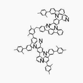 Cc1ccc(-c2ccc3c(c2)c2cc(-c4cc(Cc5ccc(-c6ccc7c8ccccc8n(-c8cc(-c9cccnc9)c(-n9c%10ccccc%10c%10ccc(-c%11ccc(C)cc%11C)cc%109)cc8C#N)c7c6)c(C)c5)c(C)cc4C)ccc2n3-c2cc(-c3cccnc3)c(-n3c4ccc(-c5ccc(C)cc5C)cc4c4cc(-c5ccc(C)cc5C)ccc43)cc2C#N)c(C)c1